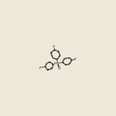 O=[SH](c1ccc(F)cc1)(c1ccc(F)cc1)c1ccc(F)cc1